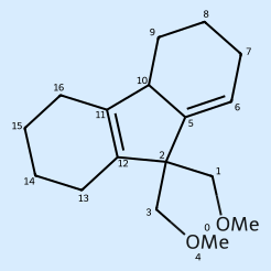 COCC1(COC)C2=CCCCC2C2=C1CCCC2